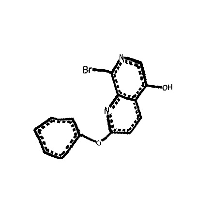 Oc1cnc(Br)c2nc(Oc3ccccc3)ccc12